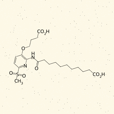 CS(=O)(=O)c1ccc(OCCCC(=O)O)c(NC(=O)CCCCCCCCCC(=O)O)n1